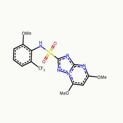 COc1cc(OC)n2nc(S(=O)(=O)Nc3c(OC)cccc3C(F)(F)F)nc2n1